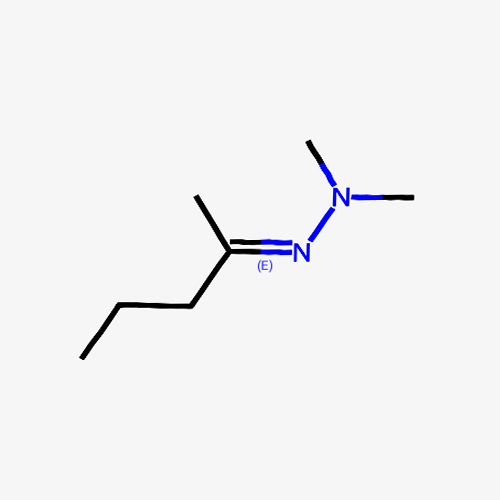 CCC/C(C)=N/N(C)C